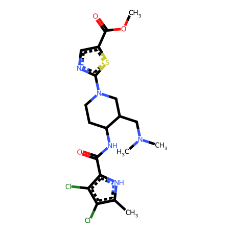 COC(=O)c1cnc(N2CCC(NC(=O)c3[nH]c(C)c(Cl)c3Cl)C(CN(C)C)C2)s1